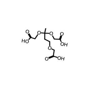 CC(CCOCC(=O)O)(OCC(=O)O)OCC(=O)O